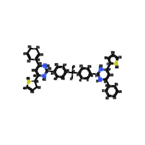 CC(C)(c1ccc(-c2nc(-c3ccccc3)cc(-c3cccs3)n2)cc1)c1ccc(-c2nc(C3=CCCC=C3)cc(C3CC=CS3)n2)cc1